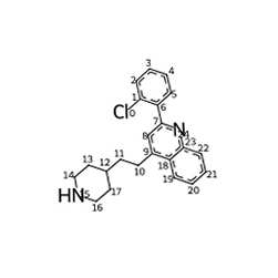 Clc1ccccc1-c1cc(CCC2CCNCC2)c2ccccc2n1